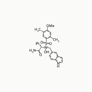 COc1cc(C)c(S(=O)(=O)[N+](O)(Cc2ccc3[nH]ccc3c2)[C@@H](C(N)=O)C(C)C)cc1C